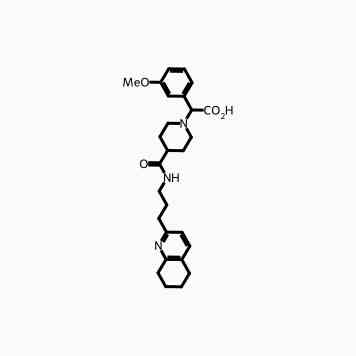 COc1cccc(C(C(=O)O)N2CCC(C(=O)NCCCc3ccc4c(n3)CCCC4)CC2)c1